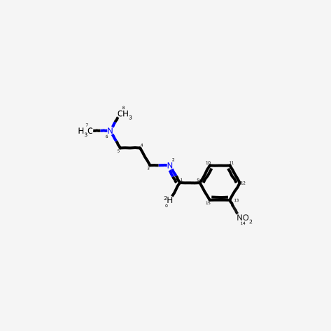 [2H]C(=NCCCN(C)C)c1cccc([N+](=O)[O-])c1